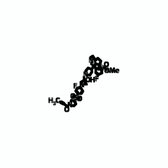 CC#CC(=O)N1CC[C@@H](S(=O)(=O)c2ccc(N3CC(O)(CN4CCC([C@@](CN5CCC5)(c5cccc(F)c5)[C@H]5CCC[C@@H]5NC(=O)OC)CC4)C3)c(F)c2)C1